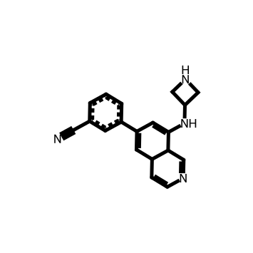 N#Cc1cccc(C2=CC3C=CN=CC3C(NC3CNC3)=C2)c1